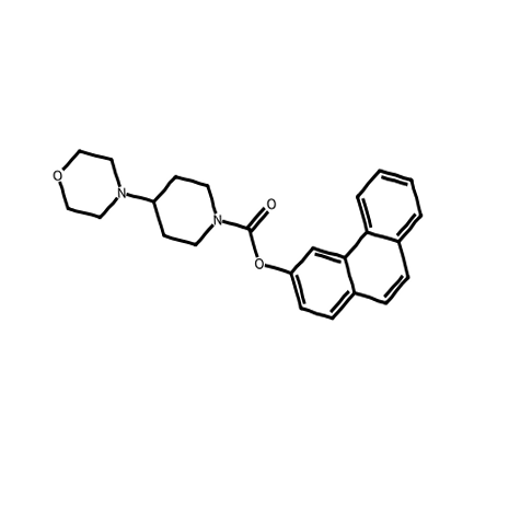 O=C(Oc1ccc2ccc3ccccc3c2c1)N1CCC(N2CCOCC2)CC1